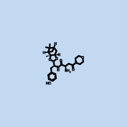 CC1(C)[C@@H]2C[C@H]3OB([C@H](Cc4ccccc4)NC(=O)[C@H](N)CC(=O)N4CCOCC4)O[C@@]3(C)[C@H]1C2.Cl